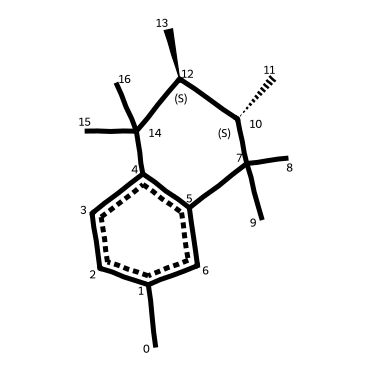 Cc1ccc2c(c1)C(C)(C)[C@@H](C)[C@H](C)C2(C)C